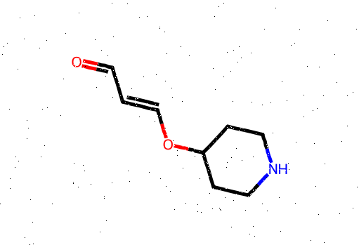 O=C/C=C/OC1CCNCC1